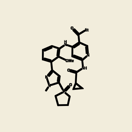 CCC(=O)c1cnc(NC(=O)C2CC2)cc1Nc1cccc(-c2cc(P3(=O)CCCC3)n(C)n2)c1OC